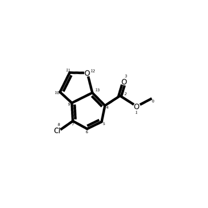 COC(=O)c1ccc(Cl)c2ccoc12